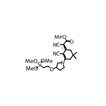 COC(=O)/C(C#N)=C1\CC(C)(C)CC(N2CCC(OCC[Si](OC)(OC)OC)C2)=C1C#N